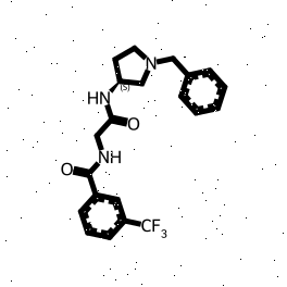 O=C(CNC(=O)c1cccc(C(F)(F)F)c1)N[C@H]1CCN(Cc2ccccc2)C1